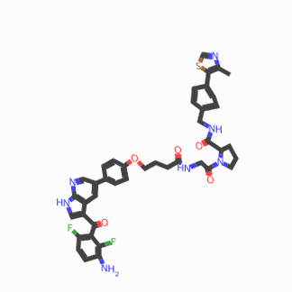 Cc1ncsc1-c1ccc(CNC(=O)C2CCCN2C(=O)CNC(=O)CCCOc2ccc(-c3cnc4[nH]cc(C(=O)c5c(F)ccc(N)c5F)c4c3)cc2)cc1